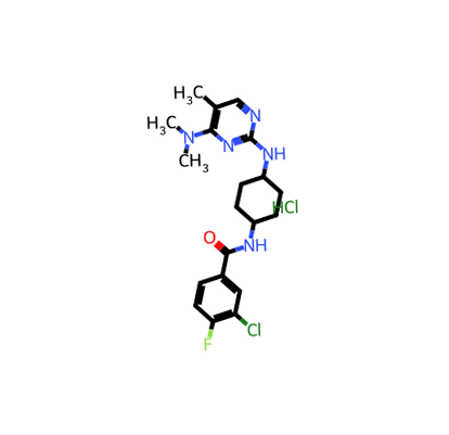 Cc1cnc(NC2CCC(NC(=O)c3ccc(F)c(Cl)c3)CC2)nc1N(C)C.Cl